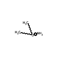 CCCCCCCCCCC(CCCCCCCCCC)Oc1ccc(N)cc1